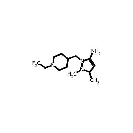 CC1C=C(N)N(CC2CCN(CC(F)(F)F)CC2)N1C